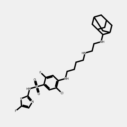 O=S(=O)(Nc1ncc(F)s1)c1cc(Cl)c(NCCCCNCCNC2C3CC4CC(C3)CC2C4)cc1F